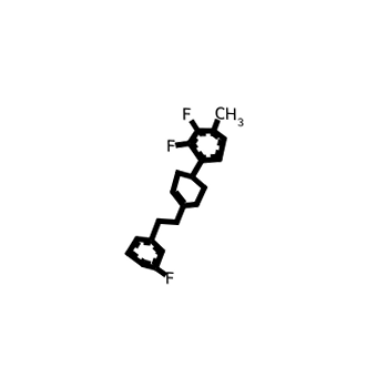 Cc1ccc(C2CC=C(CCc3cccc(F)c3)CC2)c(F)c1F